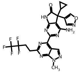 Cn1ncc2c(-c3nc(N)c4c(n3)NC(=O)C4(c3cnoc3)C3CC3)nc(CCC(F)(F)C(F)(F)F)nc21